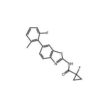 Cc1cccc(F)c1-c1ccc2nc(NC(=O)C3(F)CC3)sc2c1